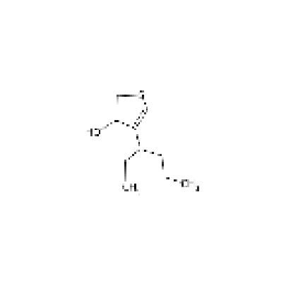 CCCC(CC)c1cscc1O